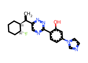 C=C(c1cnc(-c2ccc(-n3ccnc3)cc2O)nn1)[C@@H]1CCCC[C@H]1F